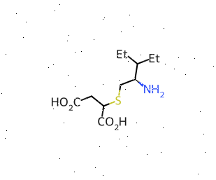 CCC(CC)[C@@H](N)CSC(CC(=O)O)C(=O)O